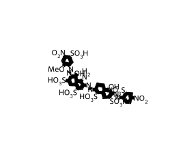 COc1cc([N+](=O)[O-])c(S(=O)(=O)O)cc1N=Nc1c(S(=O)(=O)O)cc2c(S(=O)(=O)O)cc(N=Nc3ccc4c(O)c(N=Nc5ccc([N+](=O)[O-])cc5S(=O)(=O)O)c(S(=O)(=O)O)cc4c3S(=O)(=O)O)c(N)c2c1O